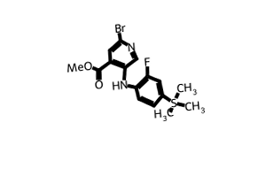 COC(=O)c1cc(Br)ncc1Nc1ccc(S(C)(C)C)cc1F